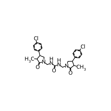 CC1C(=O)N(CNC(=O)NCN2CC(c3ccc(Cl)cc3)C(C)C2=O)CC1c1ccc(Cl)cc1